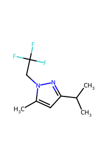 Cc1cc(C(C)C)nn1CC(F)(F)F